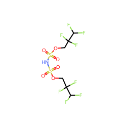 O=S(=O)(NS(=O)(=O)OCC(F)(F)C(F)F)OCC(F)(F)C(F)F